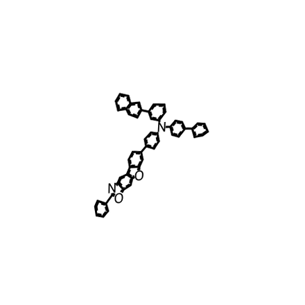 c1ccc(-c2ccc(N(c3ccc(-c4ccc5c(c4)oc4cc6oc(-c7ccccc7)nc6cc45)cc3)c3cccc(-c4ccc5ccccc5c4)c3)cc2)cc1